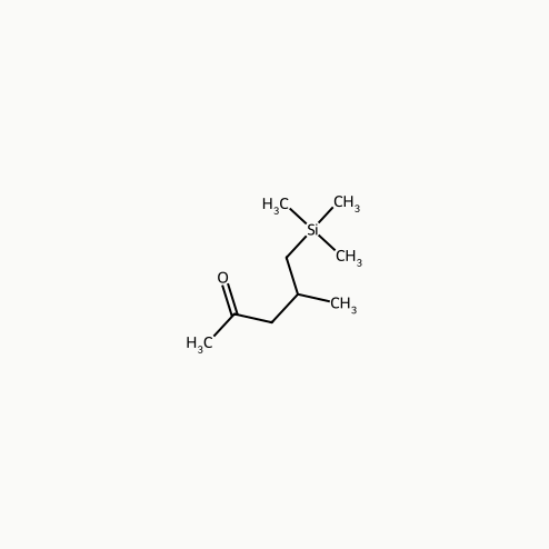 CC(=O)CC(C)C[Si](C)(C)C